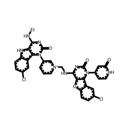 CCNc1nc(=O)n(-c2ccc[n+](CNc3nc(=O)n(-c4cc[nH]c(=O)c4)c4c3oc3ccc(Cl)cc34)c2)c2c1[nH]c1ccc(Cl)cc12